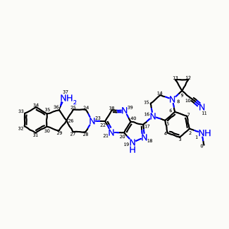 CNc1ccc2c(c1)N(C1(C#N)CC1)CCN2c1n[nH]c2nc(N3CCC4(CC3)Cc3ccccc3[C@H]4N)cnc12